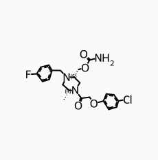 C[C@@H]1CN(Cc2ccc(F)cc2)[C@H](COC(N)=O)CN1C(=O)COc1ccc(Cl)cc1